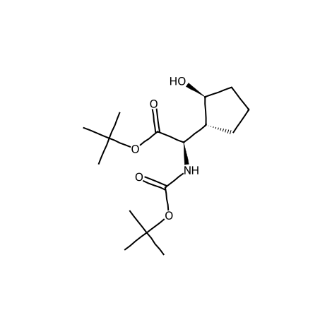 CC(C)(C)OC(=O)N[C@@H](C(=O)OC(C)(C)C)[C@H]1CCC[C@@H]1O